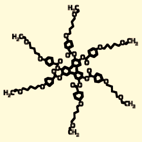 C=COCCCCCOc1ccc(C(=O)Oc2cc3c4cc(OC(=O)c5ccc(OCCCCCOC=C)cc5)c(OC(=O)c5ccc(OCCCCCOC=C)cc5)cc4c4cc(OC(=O)c5ccc(OCCCCCOC=C)cc5)c(OC(=O)c5ccc(OCCCCCOC=C)cc5)cc4c3cc2OC(=O)c2ccc(OCCCCCOC=C)cc2)cc1